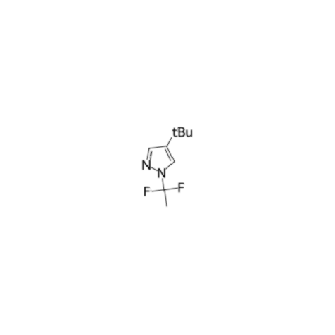 CC(C)(C)c1cnn(C(C)(F)F)c1